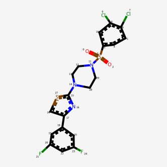 O=S(=O)(c1ccc(Cl)c(Cl)c1)N1CCN(c2nc(-c3cc(F)cc(F)c3)cs2)CC1